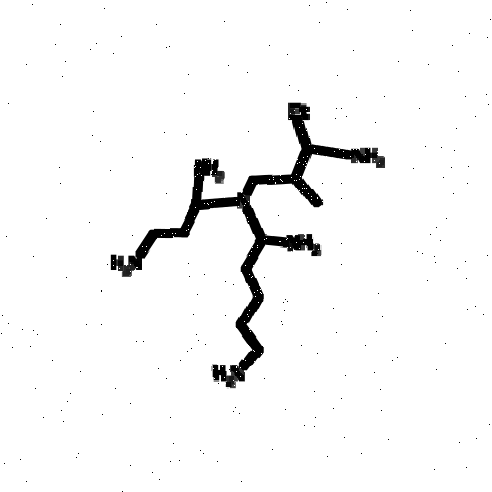 CCC(N)C(C)CN(C(N)CCN)C(N)CCCCN